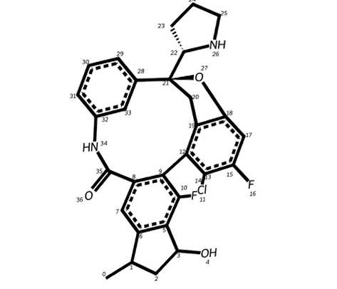 CC1CC(O)c2c1cc1c(c2F)-c2c(Cl)c(F)cc3c2C[C@]([C@@H]2CCCN2)(O3)c2cccc(c2)NC1=O